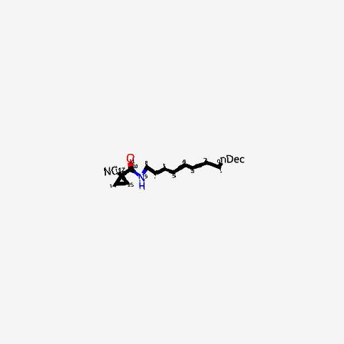 CCCCCCCCCCCCCCCCCCNC(=O)C1(C#N)CC1